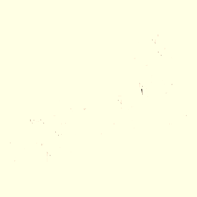 CNC(=O)C1(N2C[C@@H](C3CC3)NC2=O)Cc2ccc(NC(=O)[C@@H](NC(=O)c3ccnn3C)C3CCCCC3)cc2C1